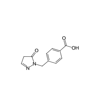 O=C(O)c1ccc(CN2N=CCC2=O)cc1